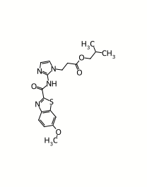 COc1ccc2nc(C(=O)Nc3nccn3CCC(=O)OCC(C)C)sc2c1